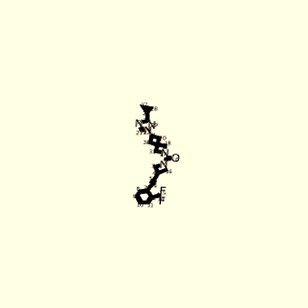 O=C(N1CC(C#Cc2ccccc2C(F)F)C1)N1CC2(CC(n3cnc(C4CC4)n3)C2)C1